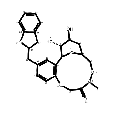 CN1OCC2CC(O)[C@@H](O)C(O2)c2cc(CC3Cc4ccccc4S3)ccc2OCC1=O